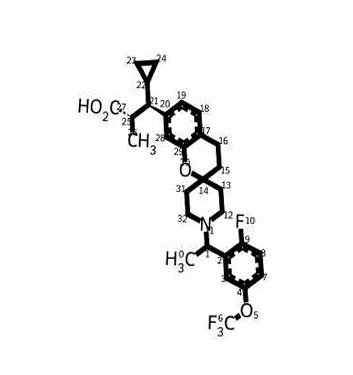 CC(c1cc(OC(F)(F)F)ccc1F)N1CCC2(CCc3ccc([C@H](C4CC4)[C@H](C)C(=O)O)cc3O2)CC1